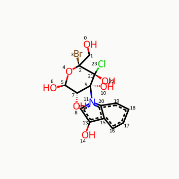 OC[C@@]1(Br)O[C@H](O)[C@@H](O)[C@](O)(n2cc(O)c3ccccc32)[C@@]1(O)Cl